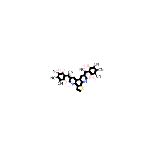 Bc1c(C#N)c(C#N)c(C#N)c(B)c1/C(C#N)=c1\cnc2c(c1)c1c/c(=C(\C#N)c3c(B)c(C#N)c(C#N)c(C#N)c3B)cnc1c1sccc21